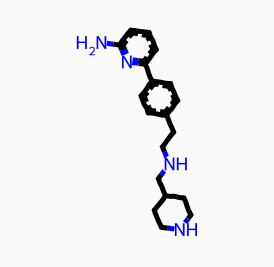 Nc1cccc(-c2ccc(CCNCC3CCNCC3)cc2)n1